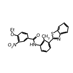 CCOc1ccc(C(=O)Nc2cccc(-c3nc4ccccc4s3)c2C)cc1[N+](=O)[O-]